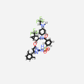 Cc1cccc(C)c1-c1cc2nc(n1)NS(=O)(=O)c1cccc(c1)C(=O)N([C@H]1CC[C@@H](N(C)CC(F)(F)F)CC1)[C@H](CC1(C(F)(F)F)CC1)CO2